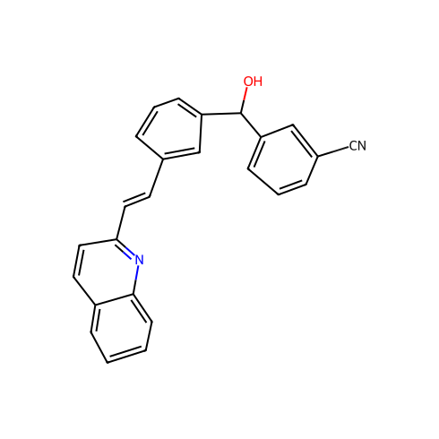 N#Cc1cccc(C(O)c2cccc(C=Cc3ccc4ccccc4n3)c2)c1